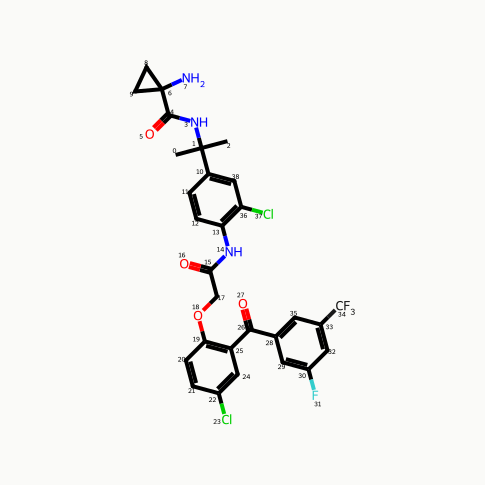 CC(C)(NC(=O)C1(N)CC1)c1ccc(NC(=O)COc2ccc(Cl)cc2C(=O)c2cc(F)cc(C(F)(F)F)c2)c(Cl)c1